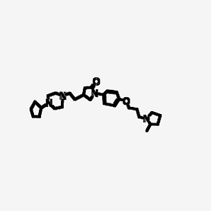 CC1CCCN1CCCOc1ccc(N2CC(CCN3CCN(C4CCCC4)CC3)CC2=O)cc1